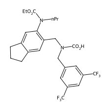 CCCN(C(=O)OCC)c1cc2c(cc1CN(Cc1cc(C(F)(F)F)cc(C(F)(F)F)c1)C(=O)O)CCC2